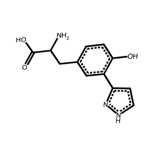 NC(Cc1ccc(O)c(-c2cc[nH]n2)c1)C(=O)O